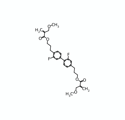 C=C(COC)C(=O)OCCCc1ccc(-c2ccc(CCCOC(=O)C(=C)COC)c(F)c2)c(F)c1